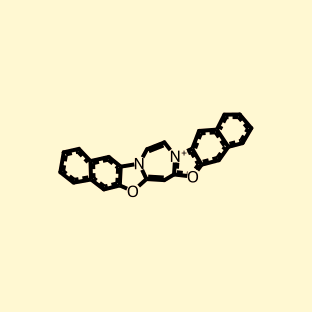 C1=C[n+]2c(oc3cc4ccccc4cc32)C=C2Oc3cc4ccccc4cc3N12